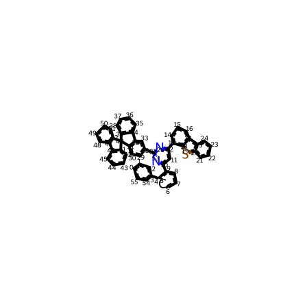 c1ccc(-c2ccccc2-c2cc(-c3cccc4c3sc3ccccc34)nc(-c3ccc4c(c3)-c3ccccc3C43c4ccccc4-c4ccccc43)n2)cc1